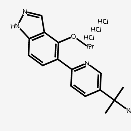 CC(C)Oc1c(-c2ccc(C(C)(C)N)cn2)ccc2[nH]ncc12.Cl.Cl.Cl